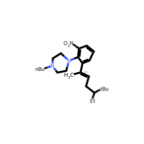 CCCCN1CCN(c2c(/C(C)=C/CC(CC)C(C)(C)C)cccc2[N+](=O)[O-])CC1